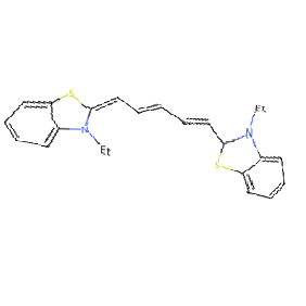 CCN1\C(=C/C=C/C=C/C2Sc3ccccc3N2CC)Sc2ccccc21